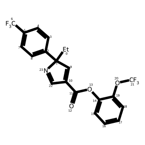 CCC1(c2ccc(C(F)(F)F)cc2)C=C(C(=O)Oc2ccccc2OC(F)(F)F)C=N1